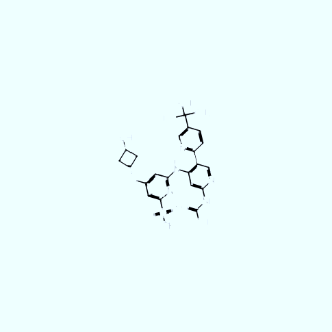 CC(=O)Nc1cc(Nc2cc(O[C@H]3C[C@H](O)C3)cc(S(C)(=O)=O)n2)c(-c2ccc(C(C)(C)O)cn2)cn1